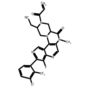 C=CC(=O)N1CC2C(=O)N(C)c3cnc4c(F)c(-c5cccc(Cl)c5C(F)(F)F)ncc4c3N2CC1CC#N